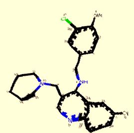 COc1ccc(CNc2c(CN3CCCCC3)cnc3ccc(C#N)cc23)cc1Cl